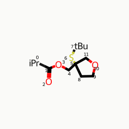 CC(C)C(=O)OCC1(SC(C)(C)C)CCOC1